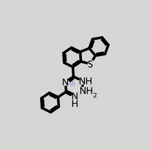 N=C(/N=C(\NN)c1cccc2c1sc1ccccc12)c1ccccc1